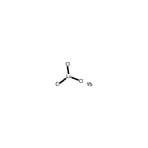 [Cl][Lu]([Cl])[Cl].[Yb]